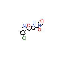 CN(C)C(=O)C(=Cc1c[nH]c(C(=O)N2CCOCC2)c1)c1cccc(Cl)c1